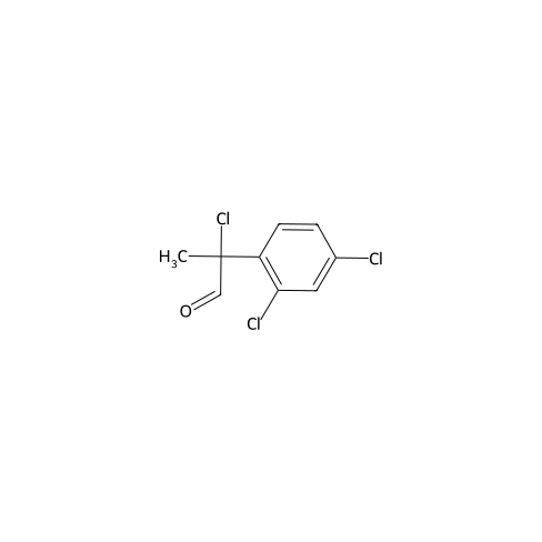 CC(Cl)(C=O)c1ccc(Cl)cc1Cl